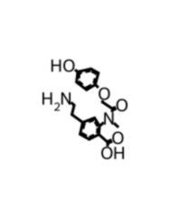 CN(C(=O)COc1ccc(O)cc1)c1cc(CCN)ccc1C(=O)O